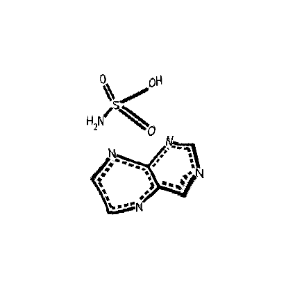 NS(=O)(=O)O.c1cnc2ncncc2n1